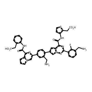 NCc1cc(-c2cn3cccc3c(C(=O)Nc3ccccc3CC(=O)O)n2)ccc1-c1cc2c(C(=O)Nc3ccsc3CC(=O)O)nc(-c3cccc(CN)c3F)nn2c1